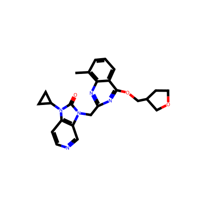 Cc1cccc2c(OCC3CCOC3)nc(Cn3c(=O)n(C4CC4)c4ccncc43)nc12